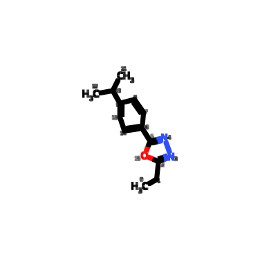 CCc1nnc(-c2ccc(C(C)C)cc2)o1